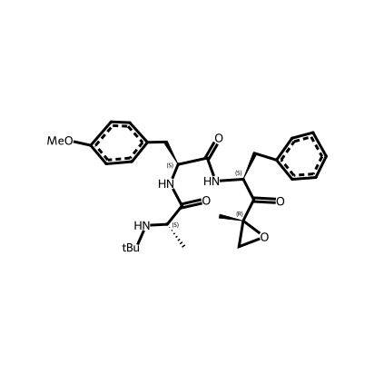 COc1ccc(C[C@H](NC(=O)[C@H](C)NC(C)(C)C)C(=O)N[C@@H](Cc2ccccc2)C(=O)[C@@]2(C)CO2)cc1